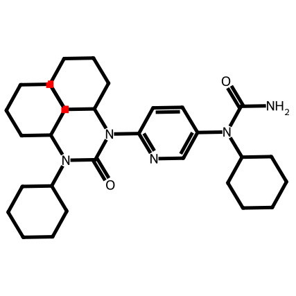 NC(=O)N(c1ccc(N(C(=O)N(C2CCCCC2)C2CCCCC2)C2CCCCC2)nc1)C1CCCCC1